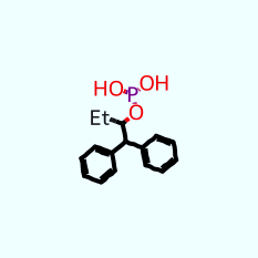 CCC(OP(O)O)C(c1ccccc1)c1ccccc1